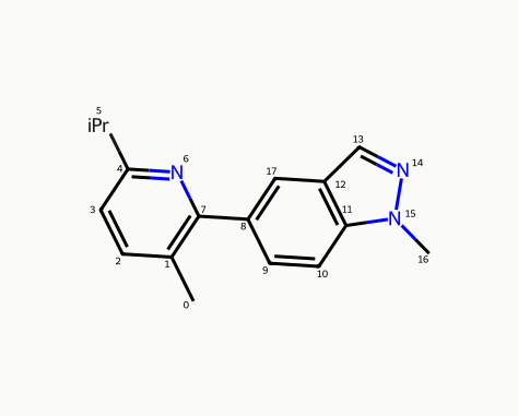 Cc1ccc(C(C)C)nc1-c1ccc2c(cnn2C)c1